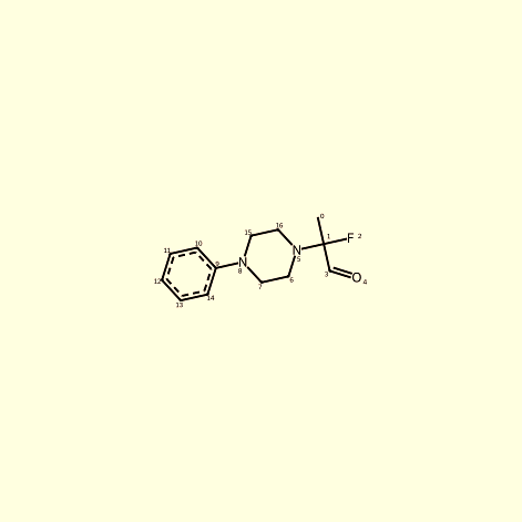 CC(F)(C=O)N1CCN(c2ccccc2)CC1